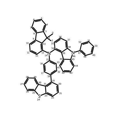 CC1(C)c2ccccc2-c2cccc(N(c3ccc(-c4cccc5sc6ccccc6c45)cc3)c3cccc4c3c3ccccc3n4-c3ccccc3)c21